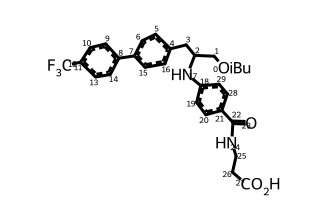 CC(C)COCC(Cc1ccc(-c2ccc(C(F)(F)F)cc2)cc1)Nc1ccc(C(=O)NCCC(=O)O)cc1